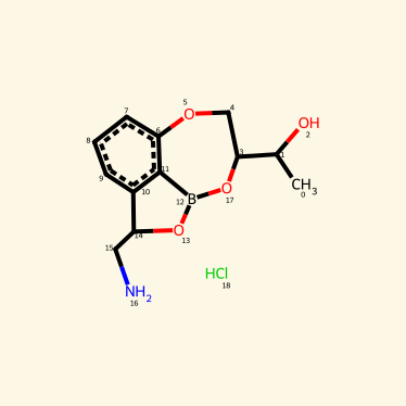 CC(O)C1COc2cccc3c2B(OC3CN)O1.Cl